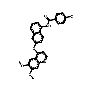 COc1cc2nccc(Oc3ccc4c(NC(=O)c5ccc(Cl)cc5)cccc4c3)c2cc1OC